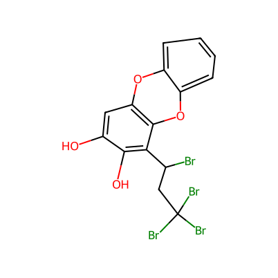 Oc1cc2c(c(C(Br)CC(Br)(Br)Br)c1O)Oc1ccccc1O2